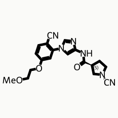 COCCOc1ccc(C#N)c(-n2cnc(NC(=O)[C@H]3CCN(C#N)C3)c2)c1